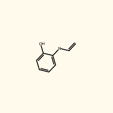 C=C[N]c1ccccc1O